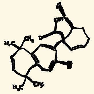 CC1(C)C=CC(C)(C)c2cc(C3(C(=O)O)C=CCCC3=C=O)c(Br)cc21